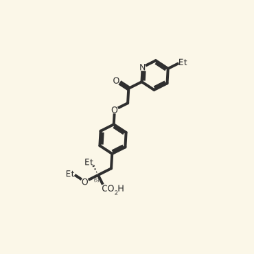 CCO[C@@](CC)(Cc1ccc(OCC(=O)c2ccc(CC)cn2)cc1)C(=O)O